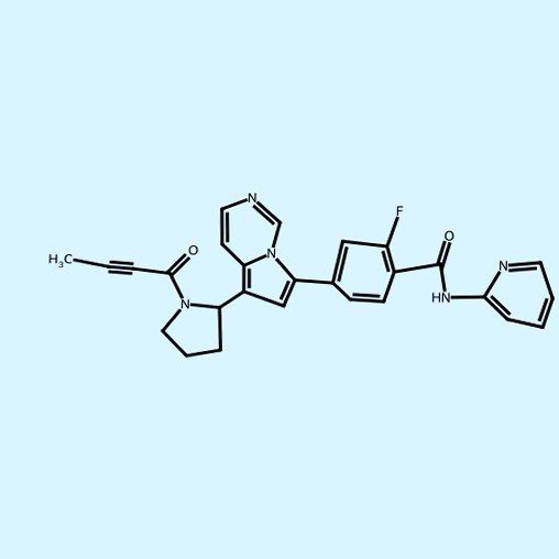 CC#CC(=O)N1CCCC1c1cc(-c2ccc(C(=O)Nc3ccccn3)c(F)c2)n2cnccc12